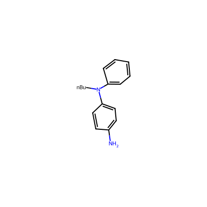 CCCCN(c1ccccc1)c1ccc(N)cc1